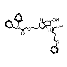 O=C(COCC[C@H]1C[C@H]2C[C@@H](O)[C@H](C(O)=CCCOc3ccccc3)[C@@H]2C1)N(Cc1ccccc1)c1ccccc1